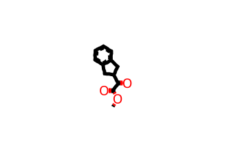 COC(=O)C(=O)C1Cc2ccccc2C1